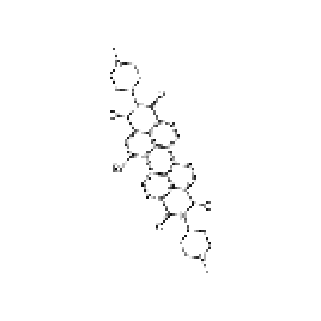 CN1CCC(N2C(=O)c3ccc4c5ccc6c7c(cc(Br)c(c8ccc(c3c48)C2=O)c75)C(=O)N(C2CCN(C)CC2)C6=O)CC1